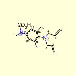 C=CCN(CC=C)c1c(C)cc(N(C)C(=O)O)cc1C